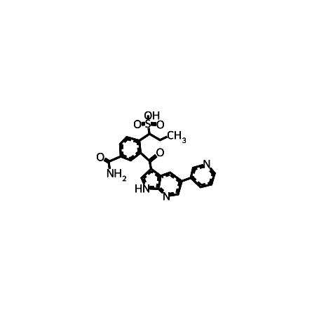 CCC(c1ccc(C(N)=O)cc1C(=O)c1c[nH]c2ncc(-c3cccnc3)cc12)S(=O)(=O)O